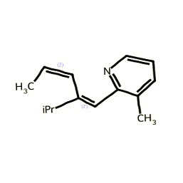 C/C=C\C(=C/c1ncccc1C)C(C)C